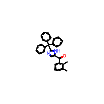 Cc1cccc(C(=O)c2cnc(C(c3ccccc3)(c3ccccc3)c3ccccc3)[nH]2)c1C